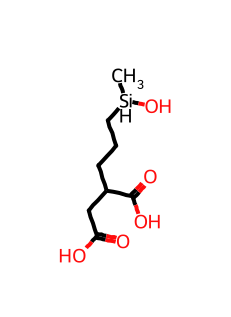 C[SiH](O)CCCC(CC(=O)O)C(=O)O